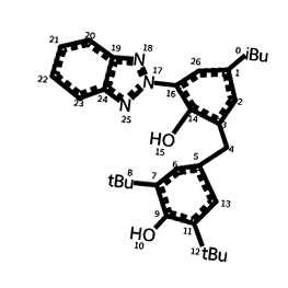 CCC(C)c1cc(Cc2cc(C(C)(C)C)c(O)c(C(C)(C)C)c2)c(O)c(-n2nc3ccccc3n2)c1